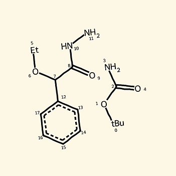 CC(C)(C)OC(N)=O.CCOC(C(=O)NN)c1ccccc1